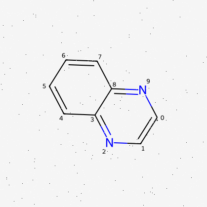 [c]1cnc2ccccc2n1